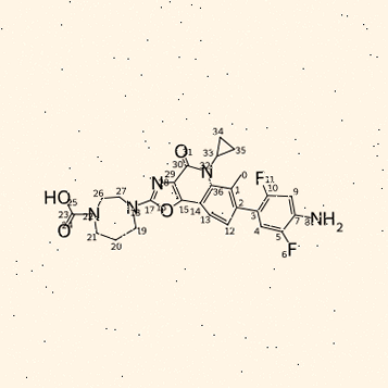 Cc1c(-c2cc(F)c(N)cc2F)ccc2c3oc(N4CCCN(C(=O)O)CC4)nc3c(=O)n(C3CC3)c12